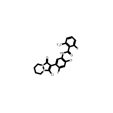 O=C(Nc1cc(-c2c(Cl)n3n(c2=O)CCCC3)c(F)cc1Cl)c1c(F)cccc1C(F)(F)F